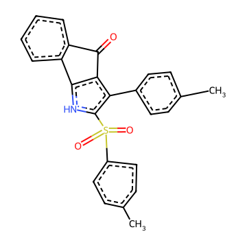 Cc1ccc(-c2c(S(=O)(=O)c3ccc(C)cc3)[nH]c3c2C(=O)c2ccccc2-3)cc1